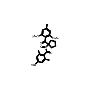 COc1cc(C)cc(OC)c1C(=O)C1([P](=O)C(=O)c2c(C)cc(C(C)(C)C)cc2C)CCCC1